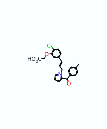 Cc1ccc(C(=O)c2cccn2C/C=C/c2ccc(Cl)c(OCC(=O)O)c2)cc1